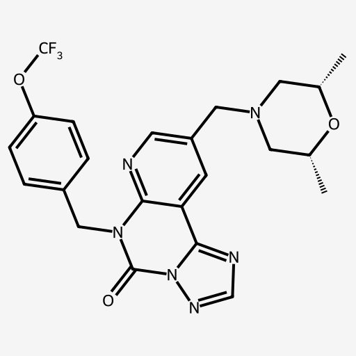 C[C@@H]1CN(Cc2cnc3c(c2)c2ncnn2c(=O)n3Cc2ccc(OC(F)(F)F)cc2)C[C@H](C)O1